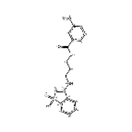 COc1cccc(C(=O)OCCCNC2=NS(=O)(=O)c3ccccc32)c1